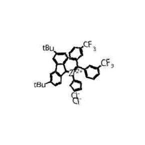 CC(C)(C)c1ccc2c(c1)-c1cc(C(C)(C)C)ccc1[CH]2[Zr+2]([C]1=CC=CC1)=[C](c1cccc(C(F)(F)F)c1)c1cccc(C(F)(F)F)c1.[Cl-].[Cl-]